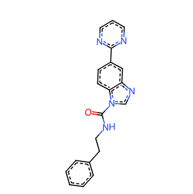 O=C(NCCc1ccccc1)n1cnc2cc(-c3ncccn3)ccc21